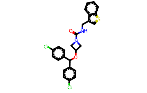 O=C(NCc1csc2ccccc12)N1CC(OC(c2ccc(Cl)cc2)c2ccc(Cl)cc2)C1